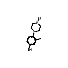 CCN1CCN(c2ccc(S)cc2C)CC1